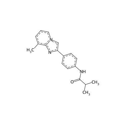 Cc1cccn2cc(-c3ccc(NC(=O)C(C)C)cc3)nc12